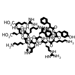 N=C(N)NCCC[C@H](NC(=O)[C@H](CCC(=O)O)NC(=O)[C@@H](CCCCN)NC(=O)[C@@H](CCCCN)NC(=O)[C@H](Cc1c[nH]cn1)NC(=O)[C@H](Cc1c[nH]c2ccccc12)NC(=O)[C@@H](CCCNC(=N)N)NC(=O)[C@H](CCCCN)NC(=O)[C@H](Cc1ccc(O)cc1)NC(=O)[C@@H](N)Cc1ccccc1)C(=O)O